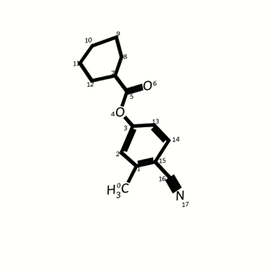 Cc1cc(OC(=O)C2CCCCC2)ccc1C#N